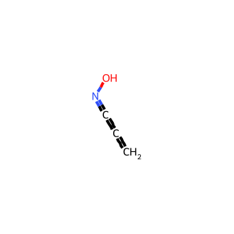 C=C=C=NO